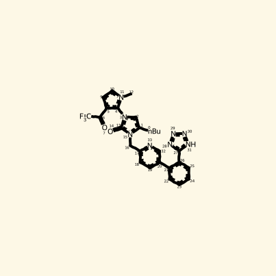 CCCCc1cn(-c2c(C(=O)C(F)(F)F)ccn2C)c(=O)n1Cc1ccc(-c2ccccc2-c2nnn[nH]2)cn1